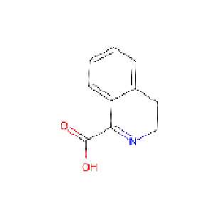 O=C(O)C1=NCCc2ccccc21